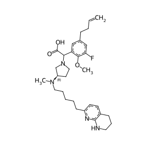 C=CCCc1cc(F)c(OC)c(C(C(=O)O)N2CC[C@@H](N(C)CCCCCc3ccc4c(n3)NCCC4)C2)c1